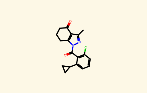 Cc1nn(C(=O)c2c(Cl)cccc2C2CC2)c2c1C(=O)CCC2